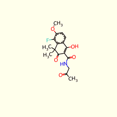 COc1ccc2c(c1F)C(C)(C)C(=O)C(C(=O)NCC(C)=O)=C2O